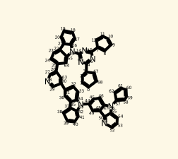 c1ccc(-c2nc(-c3ccccc3)nc(-n3c4ccccc4c4ccc(-c5cncc(-c6ccc7c(c6)c6ccccc6n7-c6ccc7c(c6)c6ncccc6n7-c6ccccc6)c5)cc43)n2)cc1